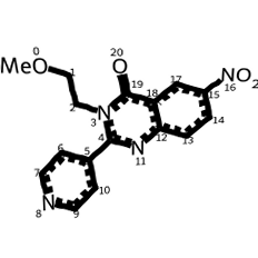 COCCn1c(-c2ccncc2)nc2ccc([N+](=O)[O-])cc2c1=O